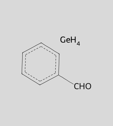 O=Cc1ccccc1.[GeH4]